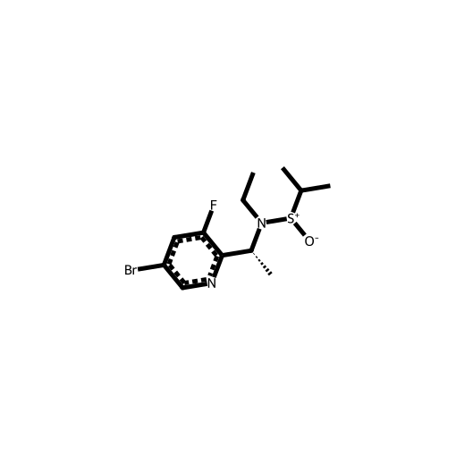 CCN([C@H](C)c1ncc(Br)cc1F)[S+]([O-])C(C)C